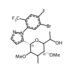 COC1C(C)[C@@H](OC)C(C(C)O)O[C@H]1c1ccnn1-c1cc(Br)c(F)cc1C(F)(F)F